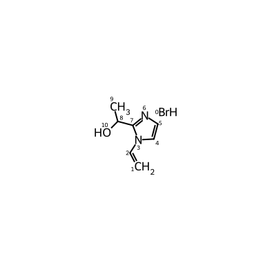 Br.C=Cn1ccnc1C(C)O